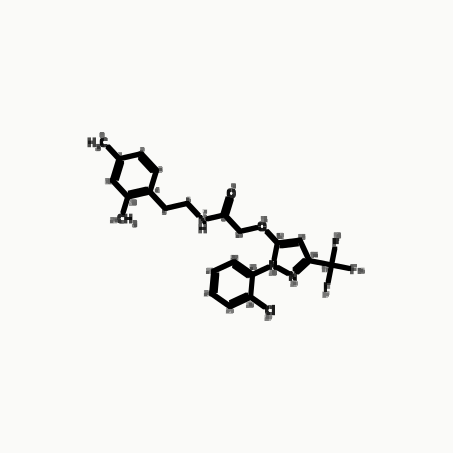 Cc1ccc(CCNC(=O)COc2cc(C(F)(F)F)nn2-c2ccccc2Cl)c(C)c1